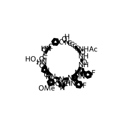 COc1ccc(C[C@@H]2NC(=O)[C@H](Cc3cnc[nH]3)NC(=O)[C@H](CC(=O)O)NC(=O)C(Cc3c[nH]c4ccc(F)cc34)NC(=O)[C@H](Cc3c[nH]c4ccc(F)cc34)NC(=O)[C@@H](C)NC(=O)[C@H](NC(C)=O)CCCCNC(=O)Cc3cccc(c3)CNC(=O)CC[C@@H](C(=O)O)NC(=O)[C@]3(C)CCCN3C2=O)cc1